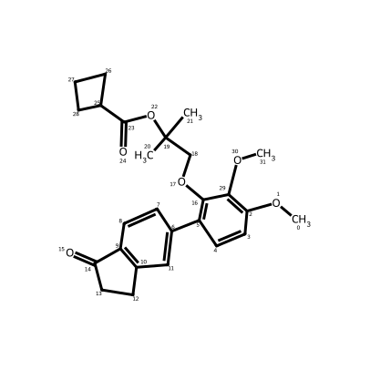 COc1ccc(-c2ccc3c(c2)CCC3=O)c(OCC(C)(C)OC(=O)C2CCC2)c1OC